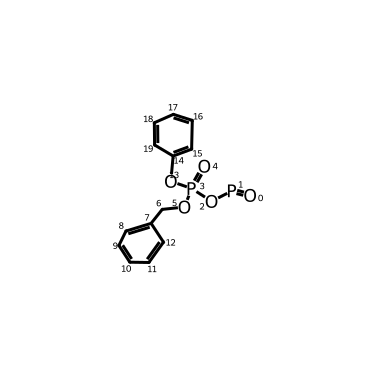 O=POP(=O)(OCc1ccccc1)Oc1ccccc1